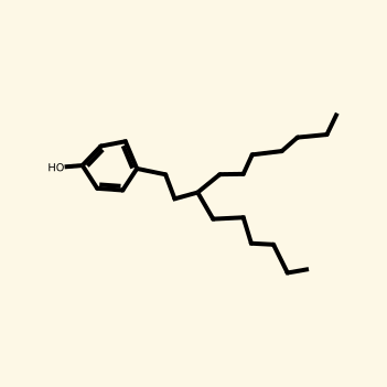 CCCCCCCC(CCCCCC)CCc1ccc(O)cc1